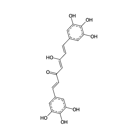 O=C(C=Cc1cc(O)c(O)c(O)c1)C=C(O)C=Cc1cc(O)c(O)c(O)c1